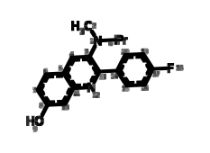 CC(C)N(C)c1cc2ccc(O)cc2nc1-c1ccc(F)cc1